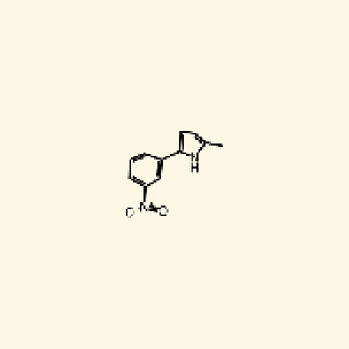 Cc1ccc(-c2cccc([N+](=O)[O-])c2)[nH]1